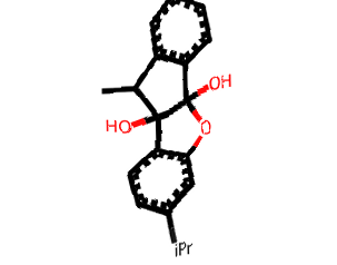 CC(C)c1ccc2c(c1)OC1(O)c3ccccc3C(C)C21O